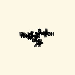 CC[C@@H](C)Nc1cc(C)c(-c2sc(C(=O)NCC(C)(C)O)nc2C(=O)N2CCC[C@@H]2C)cn1